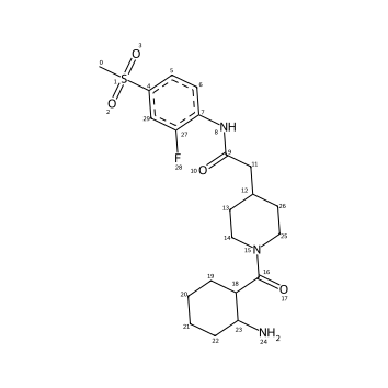 CS(=O)(=O)c1ccc(NC(=O)CC2CCN(C(=O)C3CCCCC3N)CC2)c(F)c1